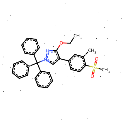 CCOc1nn(C(c2ccccc2)(c2ccccc2)c2ccccc2)cc1-c1ccc(S(C)(=O)=O)c(C)c1